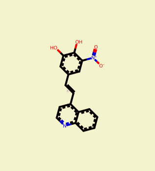 O=[N+]([O-])c1cc(/C=C/c2ccnc3ccccc23)cc(O)c1O